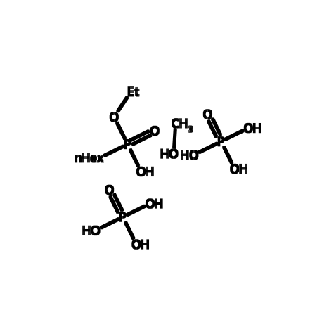 CCCCCCP(=O)(O)OCC.CO.O=P(O)(O)O.O=P(O)(O)O